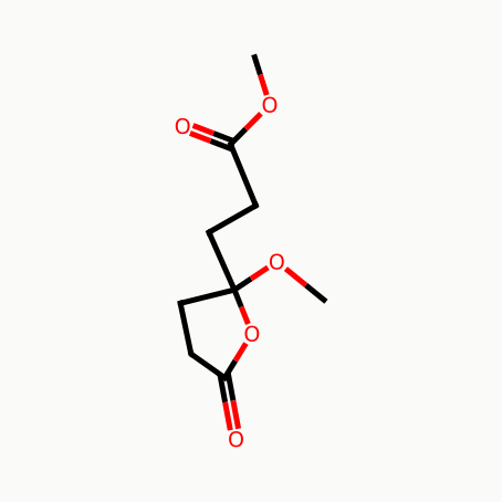 COC(=O)CCC1(OC)CCC(=O)O1